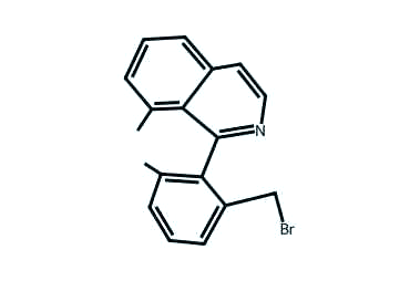 Cc1cccc(CBr)c1-c1nccc2cccc(C)c12